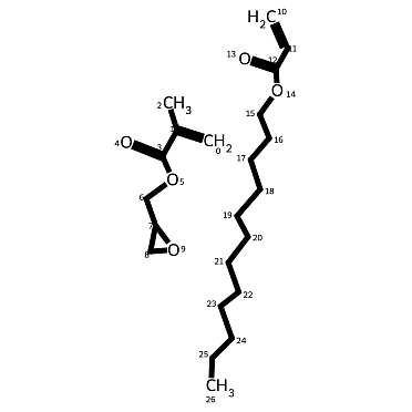 C=C(C)C(=O)OCC1CO1.C=CC(=O)OCCCCCCCCCCCC